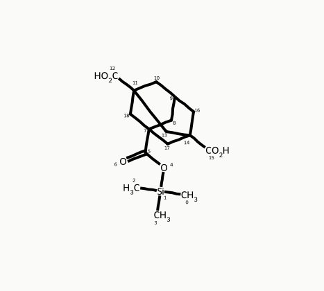 C[Si](C)(C)OC(=O)C12CC3CC(C(=O)O)(CC(C(=O)O)(C3)C1)C2